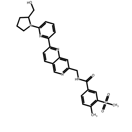 Cc1ccc(C(=O)NCc2cc3nc(-c4cccc(N5CCCC5CO)n4)ccc3cn2)cc1S(C)(=O)=O